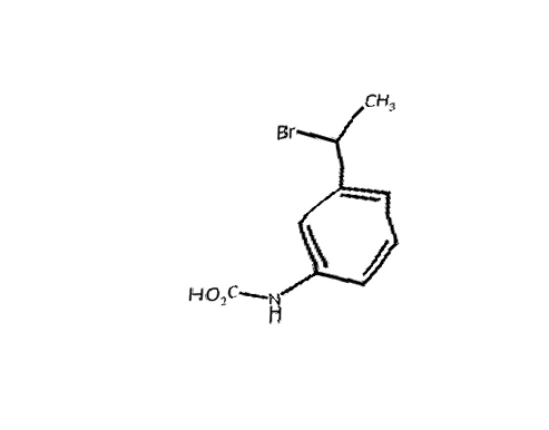 CC(Br)c1cccc(NC(=O)O)c1